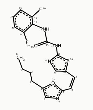 CCCCc1cnc(/C=C\c2cnc(NC(=O)Nc3c(F)cccc3F)s2)o1